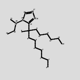 CCCCCCCC(C)(CCCCCC)c1nncn1N(C)CC